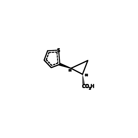 O=C(O)[C@H]1C[C@@H]1c1cccs1